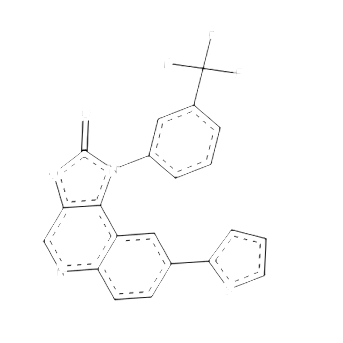 O=c1oc2cnc3ccc(-c4cccs4)cc3c2n1-c1cccc(C(F)(F)F)c1